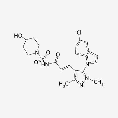 Cc1nn(C)c(-n2ccc3cc(Cl)ccc32)c1C=CC(=O)NS(=O)(=O)N1CCC(O)CC1